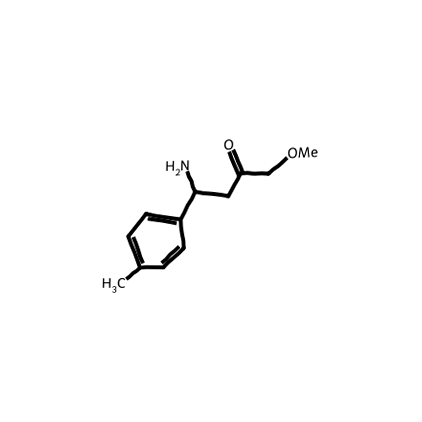 COCC(=O)CC(N)c1ccc(C)cc1